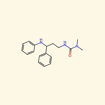 CN(C)C(=O)NCCC(Nc1ccccc1)c1ccccc1